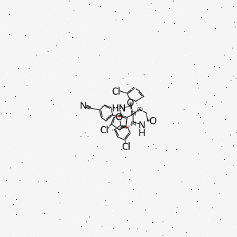 N#Cc1ccc(Oc2ccc(Cl)cc2[C@H]2NC(=O)C[C@@H](C3C=CC=C(Cl)C3)[C@]23C(=O)Nc2cc(Cl)ccc23)cc1